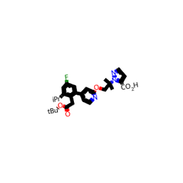 CC(C)c1cc(F)cc(-c2ccnc(OCC(C)(C)n3nccc3C(=O)O)c2)c1CC(=O)OC(C)(C)C